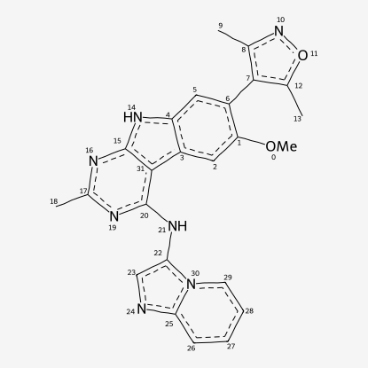 COc1cc2c(cc1-c1c(C)noc1C)[nH]c1nc(C)nc(Nc3cnc4ccccn34)c12